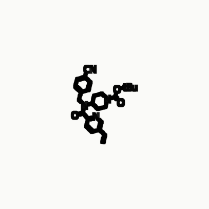 C=Cc1ccc(C(=O)N(Cc2ccc(C#N)cc2)C2CCN(C(=O)OC(C)(C)C)CC2)nc1